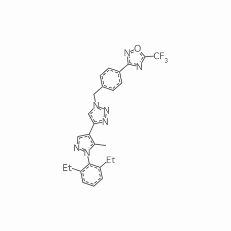 CCc1cccc(CC)c1-n1ncc(-c2cn(Cc3ccc(-c4noc(C(F)(F)F)n4)cc3)nn2)c1C